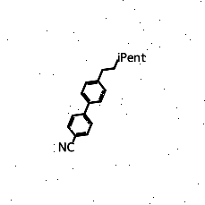 CCCC(C)CCc1ccc(-c2ccc(C#N)cc2)cc1